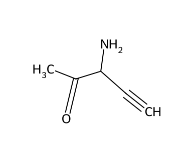 C#CC(N)C(C)=O